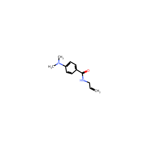 C=CCNC(=O)c1ccc(N(C)C)cc1